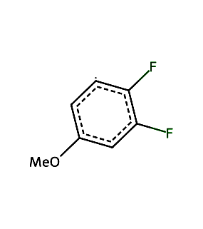 COc1c[c]c(F)c(F)c1